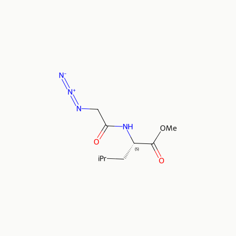 COC(=O)[C@H](CC(C)C)NC(=O)CN=[N+]=[N-]